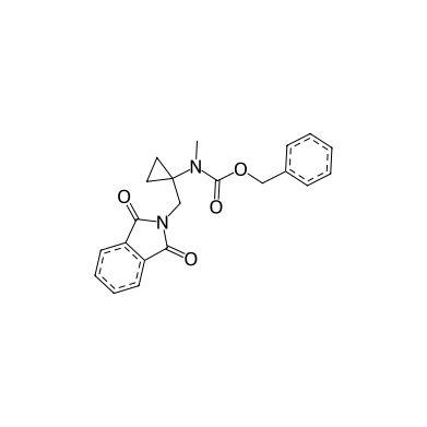 CN(C(=O)OCc1ccccc1)C1(CN2C(=O)c3ccccc3C2=O)CC1